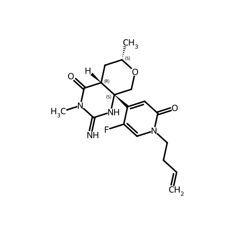 C=CCCn1cc(F)c([C@]23CO[C@@H](C)C[C@H]2C(=O)N(C)C(=N)N3)cc1=O